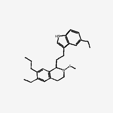 CCCc1cc2c(cc1CC)CCN(SC)C2CCc1c[nH]c2ccc(CC)cc12